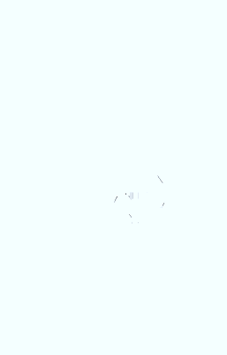 CCCCCCCCCCCC/C=C\C(C=O)SCC(NC(C)=O)C(=O)OCC